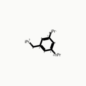 CCCc1cc(CC(C)C)cc([C](C)C)c1